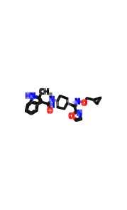 Cc1[nH]c2ccccc2c1C(=O)N[C@H]1CC[C@H](/C(=N/OCC2CC2)c2ncco2)CC1